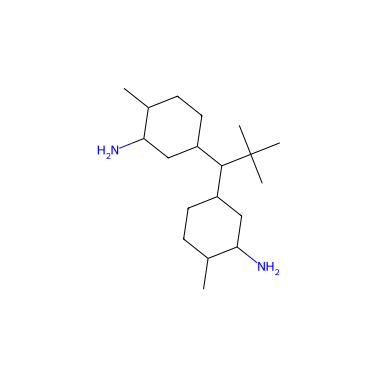 CC1CCC(C(C2CCC(C)C(N)C2)C(C)(C)C)CC1N